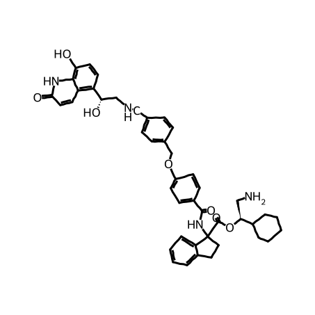 NC[C@H](OC(=O)C1(NC(=O)c2ccc(OCc3ccc(CNC[C@H](O)c4ccc(O)c5[nH]c(=O)ccc45)cc3)cc2)CCc2ccccc21)C1CCCCC1